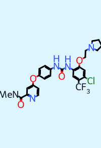 CNC(=O)c1cc(Oc2ccc(NC(=O)Nc3cc(C(F)(F)F)c(Cl)cc3OCCN3CCCC3)cc2)ccn1